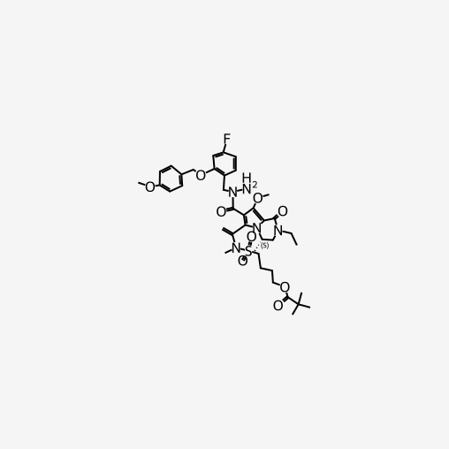 C=C(c1c(C(=O)N(N)Cc2ccc(F)cc2OCc2ccc(OC)cc2)c(OC)c2n1[C@@H](C)CN(CC)C2=O)N(C)S(=O)(=O)CCCCOC(=O)C(C)(C)C